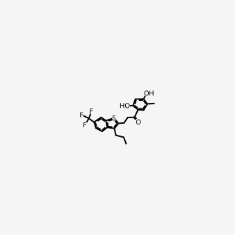 CCCc1c(CCC(=O)c2cc(C)c(O)cc2O)sc2cc(C(F)(F)F)ccc12